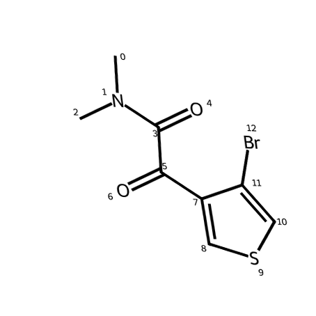 CN(C)C(=O)C(=O)c1cscc1Br